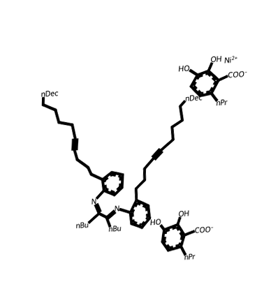 CCCCCCCCCCCCCCC#CCCCc1ccccc1N=C(CCCC)C(CCCC)=Nc1ccccc1CCCC#CCCCCCCCCCCCCCC.CCCc1ccc(O)c(O)c1C(=O)[O-].CCCc1ccc(O)c(O)c1C(=O)[O-].[Ni+2]